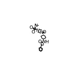 CN(C)c1c(N2CCN(C(=O)[C@H]3CC[C@H](NC(=O)OCc4ccccc4)CC3)CC2)c(=O)c1=O